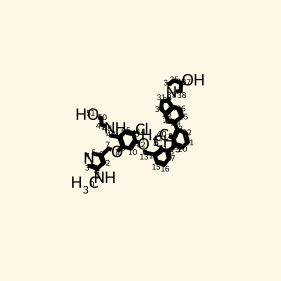 CNc1cncc(COc2cc(OCc3cccc(-c4cccc(-c5ccc6c(c5)CCC6N5CC[C@H](O)C5)c4C)c3C)c(Cl)cc2CNCCO)c1